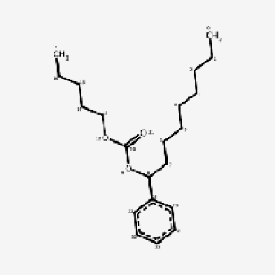 CCCCCCCCC(OC(=O)OCCCCC)c1ccccc1